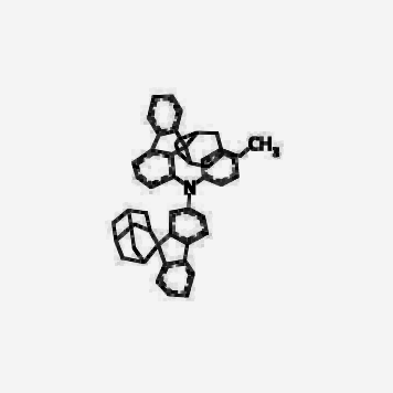 CCC1CC2CCCC(C1)C21c2ccccc2-c2cccc(N(c3ccccc3)c3ccc4c(c3)C3(c5ccccc5-4)C4CC5CC(C4)CC3C5)c21